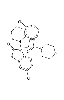 O=C(NC1CCCCN1[C@]1(Cc2cccc(Cl)c2)C(=O)Nc2cc(Cl)ccc21)N1CCOCC1